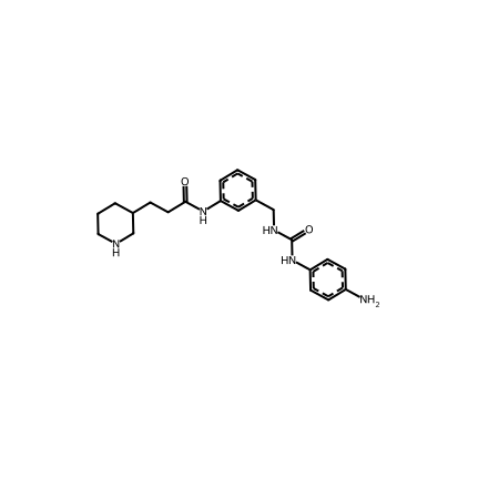 Nc1ccc(NC(=O)NCc2cccc(NC(=O)CCC3CCCNC3)c2)cc1